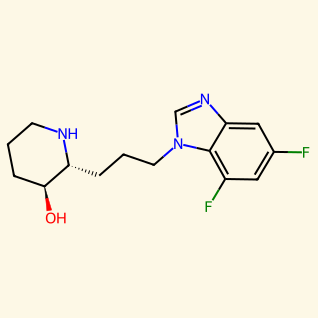 O[C@H]1CCCN[C@@H]1CCCn1cnc2cc(F)cc(F)c21